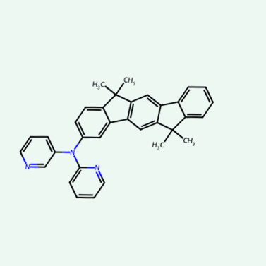 CC1(C)c2ccccc2-c2cc3c(cc21)-c1cc(N(c2cccnc2)c2ccccn2)ccc1C3(C)C